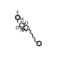 CCCN1C(=O)[C@H](Cc2ccc(F)cc2)NC(=O)C12CCN(CCCCCCc1ccccc1)CC2